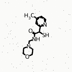 Cc1ccnc(C(S)C(=O)NCN2CCOCC2)c1